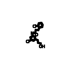 OCCCc1cc(Cl)cc2nc(CCc3ccccc3Cl)oc12